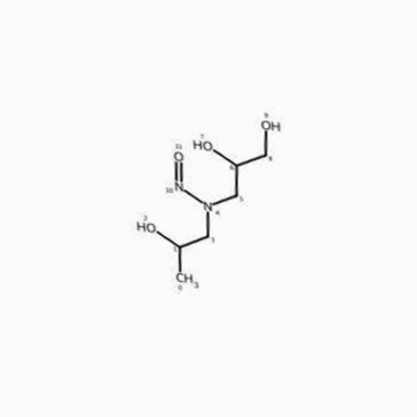 CC(O)CN(CC(O)CO)N=O